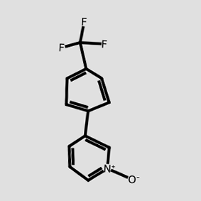 [O-][n+]1cccc(-c2ccc(C(F)(F)F)cc2)c1